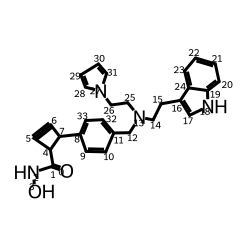 O=C(NO)C1C#CC1c1ccc(CN(CCc2c[nH]c3ccccc23)CCn2cccc2)cc1